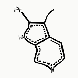 Cc1c(C(C)C)[nH]c2cnccc12